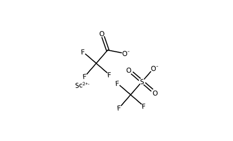 O=C([O-])C(F)(F)F.O=S(=O)([O-])C(F)(F)F.[Sc+2]